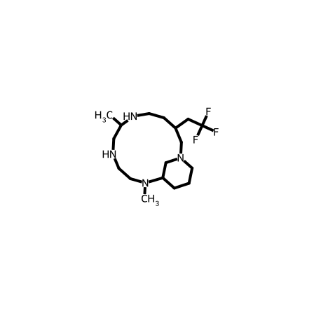 CC1CNCCN(C)C2CCCN(CC(CC(F)(F)F)CCN1)C2